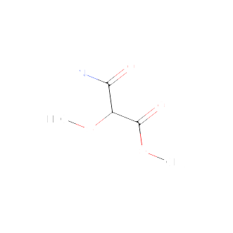 COC(=O)C(OC)C([NH])=O